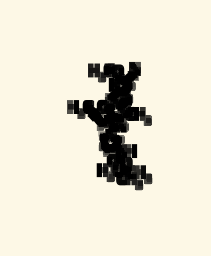 CC#CCn1c(N2CCC[C@@H](NC(=O)OC(C)(C)C)C2)nc2c1c(=O)n(Cc1ccc(C#N)c(OC)n1)c(=O)n2C